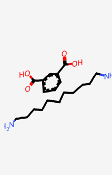 NCCCCCCCCCCCN.O=C(O)c1cccc(C(=O)O)c1